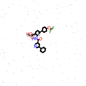 O=C(Nc1cc(-c2ccc(OC(F)F)cc2)ccc1C(=O)O)c1cncc(-c2ccccc2)c1.[NaH]